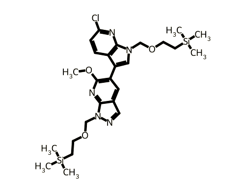 COc1nc2c(cnn2COCC[Si](C)(C)C)cc1-c1cn(COCC[Si](C)(C)C)c2nc(Cl)ccc12